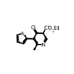 CCOC(=O)C1C=NC(C)=C(c2cccs2)C1=O